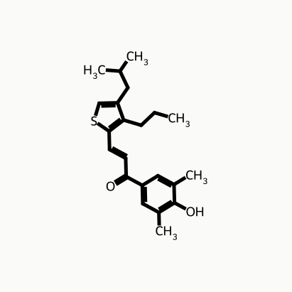 CCCc1c(CC(C)C)csc1C=CC(=O)c1cc(C)c(O)c(C)c1